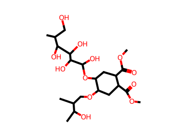 COC(=O)C1CC(OCC(C)C(C)O)C(OC(O)C(O)C(O)C(O)C(C)CO)CC1C(=O)OC